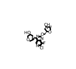 CN1CCO[C@@H](COc2nc(N3CCOC[C@@H](O)C3)c3cnc(Cl)c(F)c3n2)C1